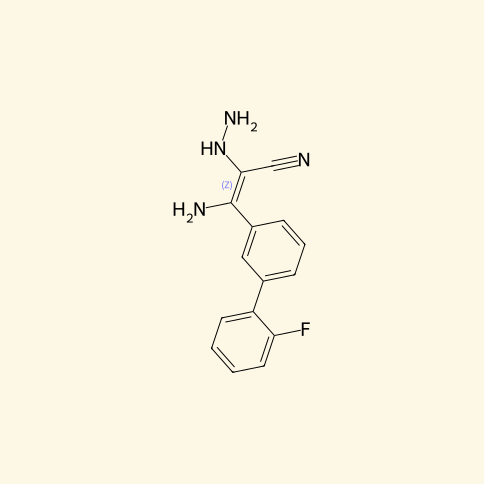 N#C/C(NN)=C(/N)c1cccc(-c2ccccc2F)c1